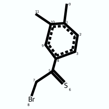 Cc1ccc(C(=S)CBr)cc1C